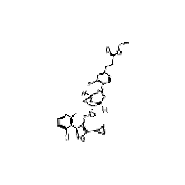 CCOC(=O)CCc1ccc(N2C[C@@H]3C[C@H]2C[C@H]3OCc2c(-c3c(C)cccc3Cl)noc2C2CC2)c(F)c1